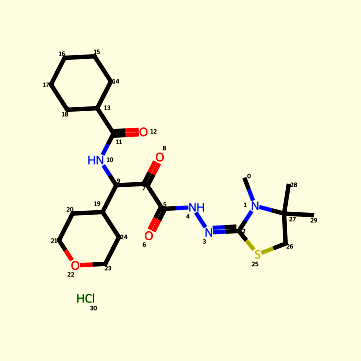 CN1C(=NNC(=O)C(=O)C(NC(=O)C2CCCCC2)C2CCOCC2)SCC1(C)C.Cl